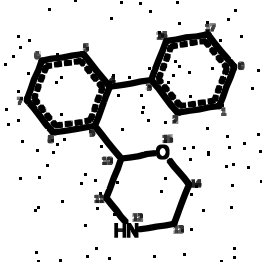 c1ccc(-c2ccccc2C2CNCCO2)cc1